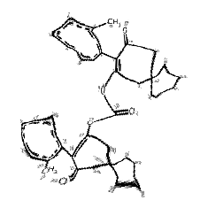 Cc1ccccc1C1=C(OC(=O)OC2=C(c3ccccc3C)C(=O)CC3(CCCC3)C2)CC2(CCCC2)CC1=O